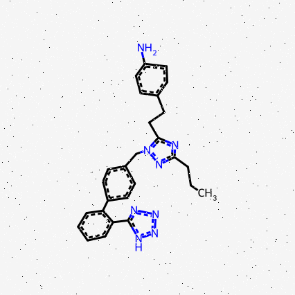 CCCc1nc(CCc2ccc(N)cc2)n(Cc2ccc(-c3ccccc3-c3nnn[nH]3)cc2)n1